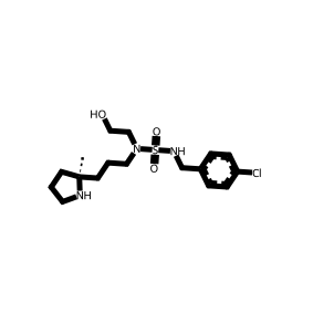 C[C@@]1(CCCN(CCO)S(=O)(=O)NCc2ccc(Cl)cc2)CCCN1